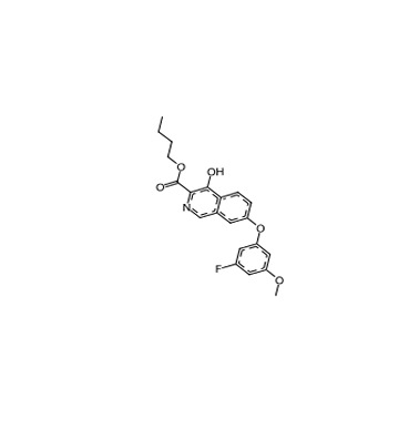 CCCCOC(=O)c1ncc2cc(Oc3cc(F)cc(OC)c3)ccc2c1O